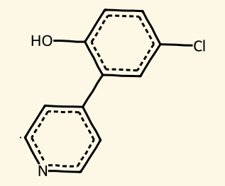 Oc1ccc(Cl)cc1-c1c[c]ncc1